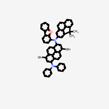 CC(C)(C)c1cc(N(c2ccccc2)c2ccccc2)c2ccc3c(C(C)(C)C)cc(N(c4cc5c6c(ccc7cccc(c76)C5(C)C)c4)c4cccc5c4oc4ccccc45)c4ccc1c2c43